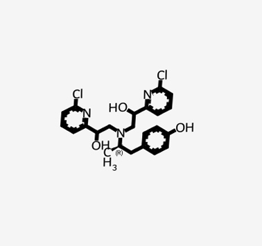 C[C@H](Cc1ccc(O)cc1)N(CC(O)c1cccc(Cl)n1)CC(O)c1cccc(Cl)n1